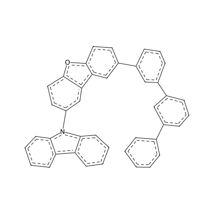 c1ccc(-c2cccc(-c3cccc(-c4ccc5oc6ccc(-n7c8ccccc8c8ccccc87)cc6c5c4)c3)c2)cc1